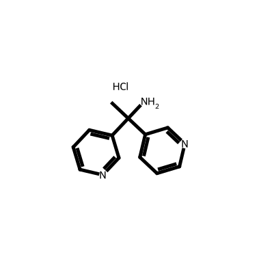 CC(N)(c1cccnc1)c1cccnc1.Cl